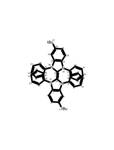 CC(C)(C)c1ccc2c(c1)N(c1ccccc1)/C(=C1\N(c3ccccc3)c3ccc(C(C)(C)C)cc3N1c1ccccc1)N2c1ccccc1